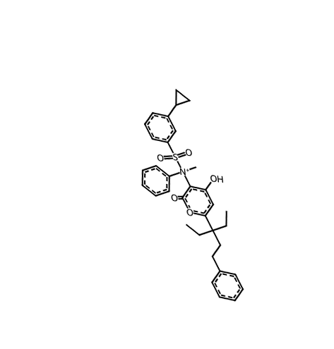 CCC(CC)(CCc1ccccc1)c1cc(O)c([N+](C)(c2ccccc2)S(=O)(=O)c2cccc(C3CC3)c2)c(=O)o1